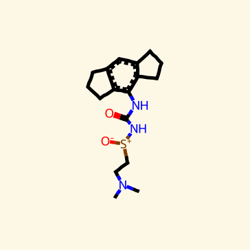 CN(C)CC[S+]([O-])NC(=O)Nc1c2c(cc3c1CCC3)CCC2